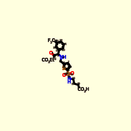 CCOC(=O)C(=O)C(NCc1ccc(S(=O)(=O)NCCCC(=O)O)s1)c1cccc(C(F)(F)F)c1